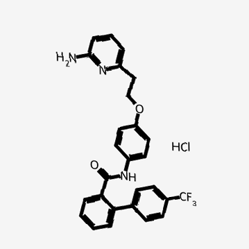 Cl.Nc1cccc(CCOc2ccc(NC(=O)c3ccccc3-c3ccc(C(F)(F)F)cc3)cc2)n1